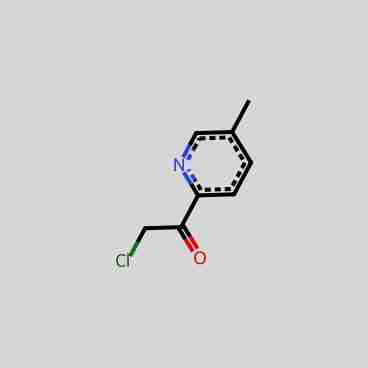 Cc1ccc(C(=O)CCl)nc1